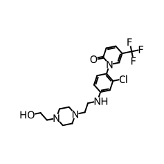 O=c1ccc(C(F)(F)F)cn1-c1ccc(NCCN2CCN(CCO)CC2)cc1Cl